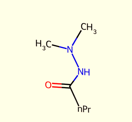 [CH2-][CH+]CC(=O)NN(C)C